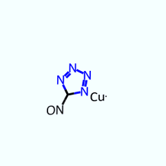 O=NC1N=NN=N1.[Cu]